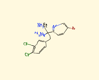 CCC(N)(Cc1ccc(Cl)c(Cl)c1)c1ccc(Br)cn1.N